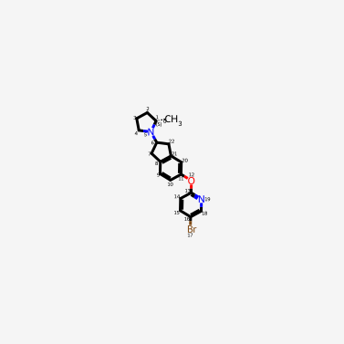 C[C@H]1CCCN1C1Cc2ccc(Oc3ccc(Br)cn3)cc2C1